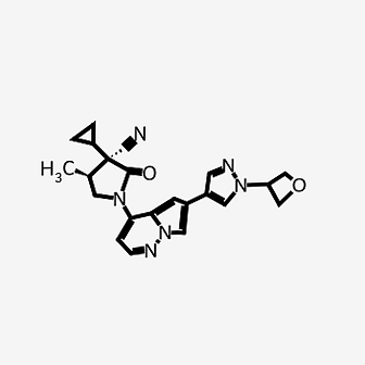 C[C@@H]1CN(c2ccnn3cc(-c4cnn(C5COC5)c4)cc23)C(=O)[C@]1(C#N)C1CC1